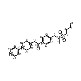 CCCCS(=O)(=O)NCc1ccc(C(=O)CN2CCN(c3ccncc3)CC2)cc1